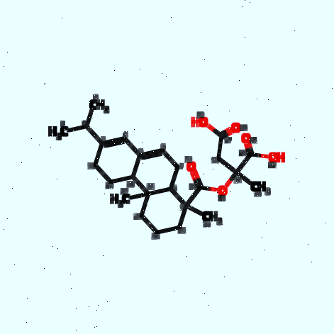 CC(C)C1=CC2=CCC3C(C)(C(=O)OC(C)(CC(=O)O)C(=O)O)CCCC3(C)C2CC1